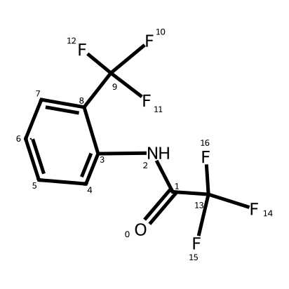 O=C(Nc1cc[c]cc1C(F)(F)F)C(F)(F)F